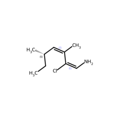 CC[C@H](C)/C=C(C)\C(Cl)=C/N